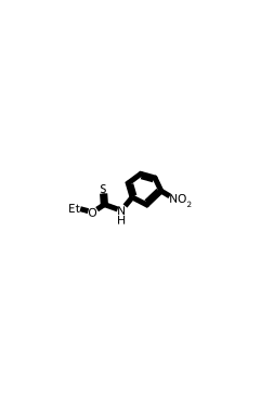 CCOC(=S)Nc1cccc([N+](=O)[O-])c1